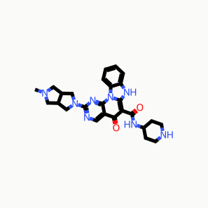 CN1CC2CN(c3ncc4c(=O)c(C(=O)NC5CCNCC5)c5[nH]c6ccccc6n5c4n3)CC2C1